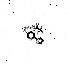 CNOc1ccc(-n2cccn2)nc1.O=C(O)C(F)(F)F